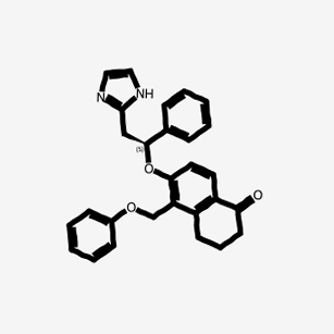 O=C1CCCc2c1ccc(O[C@@H](Cc1ncc[nH]1)c1ccccc1)c2COc1ccccc1